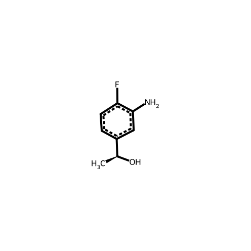 C[C@H](O)c1ccc(F)c(N)c1